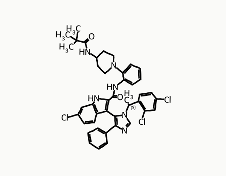 C[C@@H](c1ccc(Cl)cc1Cl)n1cnc(-c2ccccc2)c1-c1c(C(=O)Nc2ccccc2N2CCC(NC(=O)C(C)(C)C)CC2)[nH]c2cc(Cl)ccc12